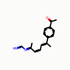 CC(=O)c1ccc(/C(C)=C/C=C\C(C)=N\C=N)cc1